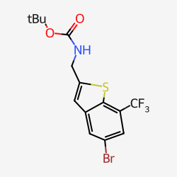 CC(C)(C)OC(=O)NCc1cc2cc(Br)cc(C(F)(F)F)c2s1